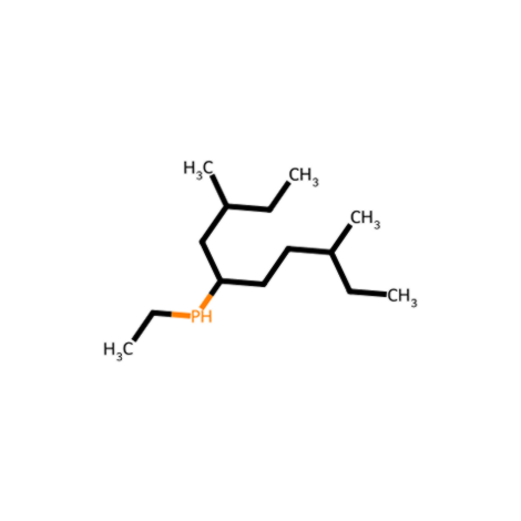 CCPC(CCC(C)CC)CC(C)CC